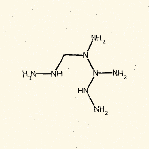 NNCN(N)N(N)NN